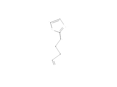 O=CCCCc1ncc[nH]1